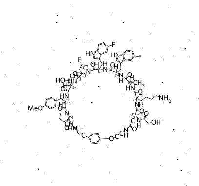 COc1ccc(C[C@@H]2NC(=O)[C@H]([C@@H](C)O)NC(=O)[C@@H]3C[C@H](F)CN3C(=O)[C@H](Cc3c[nH]c4ccc(F)cc34)NC(=O)[C@H](Cc3c[nH]c4ccc(F)cc34)NC(=O)[C@@H](C)NC(=O)[C@H](CCCCN)NC(=O)[C@@H](NC(=O)CO)CC(=O)NCCOc3ccc(cc3)CCNC(=O)[C@]3(C)CCCN3C2=O)cc1